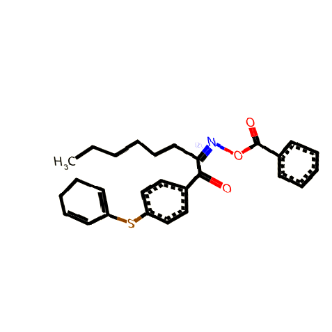 CCCCCC/C(=N/OC(=O)c1ccccc1)C(=O)c1ccc(SC2=CCCC=C2)cc1